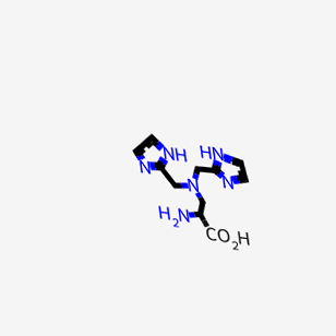 NC(CN(Cc1ncc[nH]1)Cc1ncc[nH]1)C(=O)O